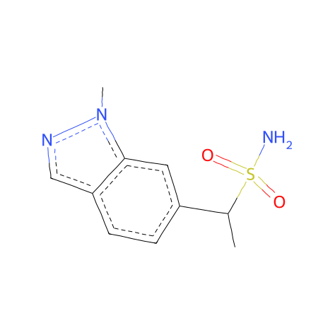 CC(c1ccc2cnn(C)c2c1)S(N)(=O)=O